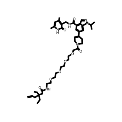 C=CCC(CC)(CC)CC(=O)NCCOCCOCCOCCOCC(=O)N1CC=C(c2cc(C(=O)NCc3c(C)cc(C)[nH]c3=O)c3cnn(C(C)C)c3c2)CC1